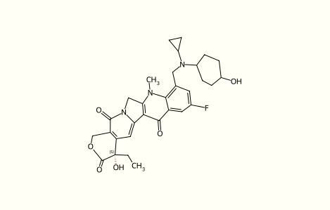 CC[C@@]1(O)C(=O)OCc2c1cc1n(c2=O)Cc2c-1c(=O)c1cc(F)cc(CN(C3CCC(O)CC3)C3CC3)c1n2C